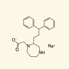 O=C([O-])CN1CCCNCC1CCC(c1ccccc1)c1ccccc1.[Na+]